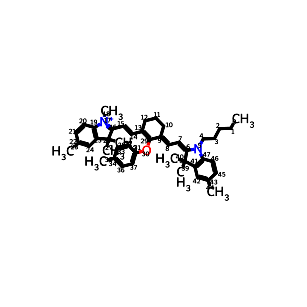 CCCCCN1/C(=C/C=C2\CCCC(/C=C/C3=[N+](C)c4ccc(C)cc4C3(C)C)=C2Oc2ccc(C)cc2)C(C)(C)c2cc(C)ccc21